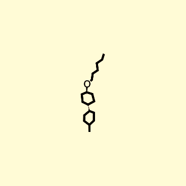 CCCCCCO[C@H]1CC[C@H](C2CCC(C)CC2)CC1